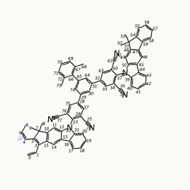 C=CC1=C(/C=C\C)C(C)(C)c2cc3c(cc21)c1ccccc1n3-c1c(C#N)cc(-c2cc(-c3cc(C#N)c(-n4c5ccccc5c5cc6c(cc54)C(C)(C)c4ccccc4-6)c(C#N)c3)cc(-c3c(C)cccc3C)c2)cc1C#N